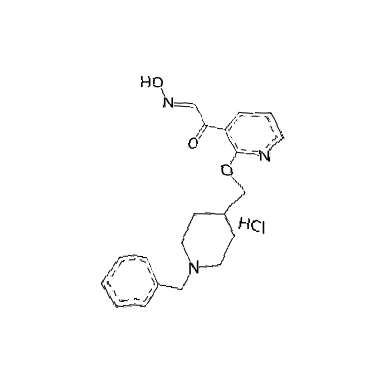 Cl.O=C(C=NO)c1cccnc1OCC1CCN(Cc2ccccc2)CC1